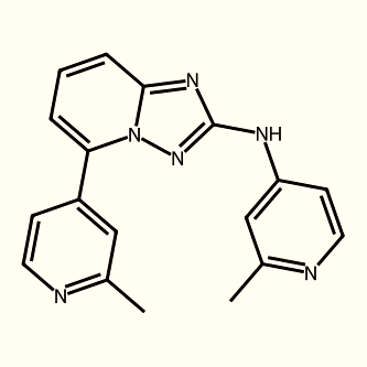 Cc1cc(Nc2nc3cccc(-c4ccnc(C)c4)n3n2)ccn1